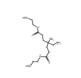 CCCCCCCCCCCCOC(=O)CCC(N)(CN)CCC(=O)OCCCCCCCCCCCC